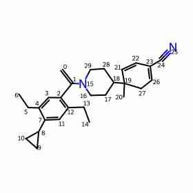 C=C(c1cc(CC)c(C2CC2)cc1CC)N1CCC(C2(C)C=CC(C#N)=CC2)CC1